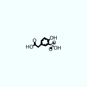 O=C(O)Cc1ccc(O)c(S(=O)(=O)O)c1